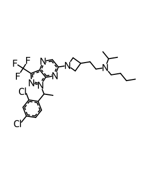 CCCCN(CCC1CN(c2cnc3c(C(F)(F)F)nn(C(C)c4ccc(Cl)cc4Cl)c3n2)C1)C(C)C